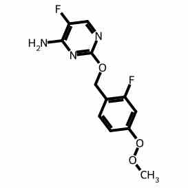 COOc1ccc(COc2ncc(F)c(N)n2)c(F)c1